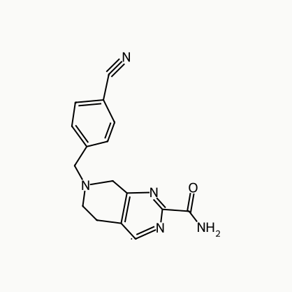 N#Cc1ccc(CN2CCc3[c]nc(C(N)=O)nc3C2)cc1